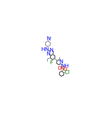 CCc1c(F)c(-c2ccc(NS(=O)(=O)c3ccccc3Cl)nc2C)cc2cnc(NC3CCC(N(C)C)CC3)nc12